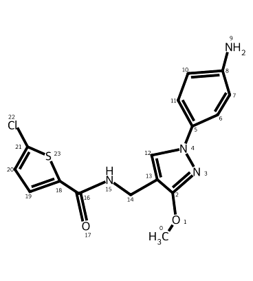 COc1nn(-c2ccc(N)cc2)cc1CNC(=O)c1ccc(Cl)s1